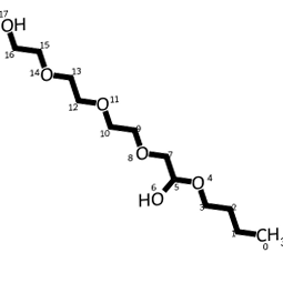 CCCCOC(O)COCCOCCOCCO